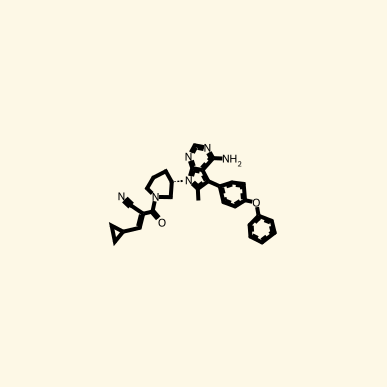 Cc1c(-c2ccc(Oc3ccccc3)cc2)c2c(N)ncnc2n1[C@H]1CCCN(C(=O)/C(C#N)=C/C2CC2)C1